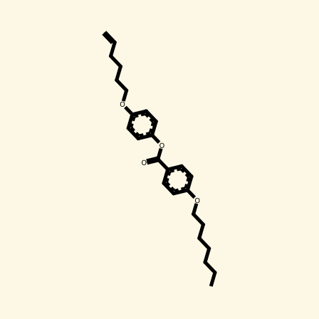 C=CCCCCOc1ccc(OC(=O)c2ccc(OCCCCCCC)cc2)cc1